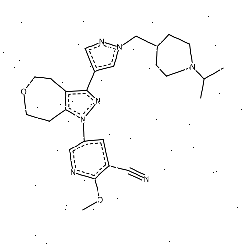 COc1ncc(-n2nc(-c3cnn(CC4CCN(C(C)C)CC4)c3)c3c2CCOCC3)cc1C#N